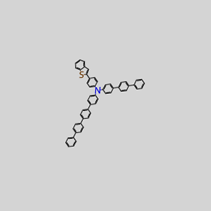 c1ccc(-c2ccc(-c3ccc(-c4ccc(N(c5ccc(-c6ccc(-c7ccccc7)cc6)cc5)c5ccc(-c6cc7ccccc7s6)cc5)cc4)cc3)cc2)cc1